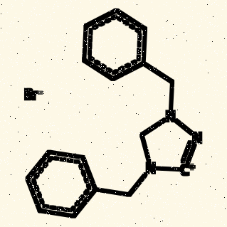 [Br-].[C+]1=NN(Cc2ccccc2)CN1Cc1ccccc1